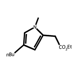 CCCCc1cc(CC(=O)OCC)n(C)c1